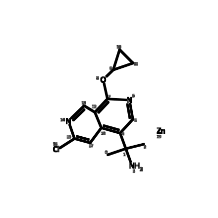 CC(C)(N)c1cnc(OC2CC2)c2cnc(Cl)cc12.[Zn]